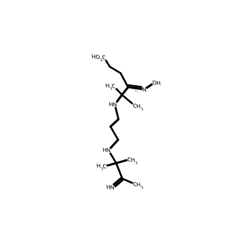 CC(=N)C(C)(C)NCCCNC(C)(C)/C(CCC(=O)O)=N/O